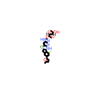 Cc1ccc(-c2cc(F)c3c(c2)CCC3Nc2nc3nc(O[C@@H]4CO[C@H]5[C@@H]4OC[C@H]5O)[nH]c3cc2Cl)o1